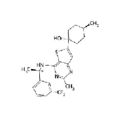 Cc1nc(N[C@H](C)c2cccc(C(F)(F)F)c2)c2sc([C@]3(O)CC[C@H](C)CC3)cc2n1